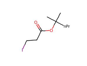 CCCC(C)(C)OC(=O)CCI